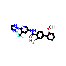 COc1ccccc1-c1ccc(C(=O)Nc2cnc(-n3nccn3)c(C(F)(F)F)c2)c(C)c1